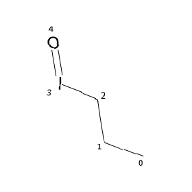 CCCI=O